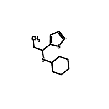 CCC(SC1CCCCC1)c1cc[c]s1